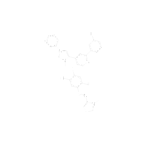 CN1CSC=C1NSc1cc(Cl)c(Oc2cnc(-c3cccc(F)c3)cc2C2=CN(c3cccnc3)CN2)cc1F